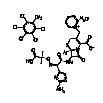 CC(C)(O/N=C(\C(=O)N[C@@H]1C(=O)N2C(C(=O)[O-])=C(C[n+]3ccccc3)CS[C@H]12)c1csc(N)n1)C(=O)O.O.Oc1c(Cl)c(Cl)c(Cl)c(Cl)c1Cl